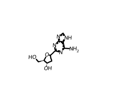 Nc1nc(C2C[C@H](O)[C@@H](CO)O2)nc2nc[nH]c12